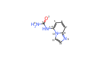 NC(=O)Nc1cccc2n[c]cn12